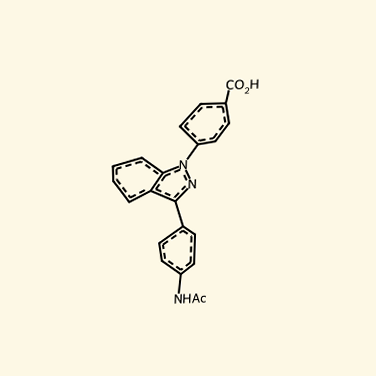 CC(=O)Nc1ccc(-c2nn(-c3ccc(C(=O)O)cc3)c3ccccc23)cc1